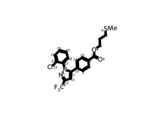 CSCCCOC(=O)c1ccc(-c2cc(C(F)(F)F)nn2-c2ccccc2Cl)cc1